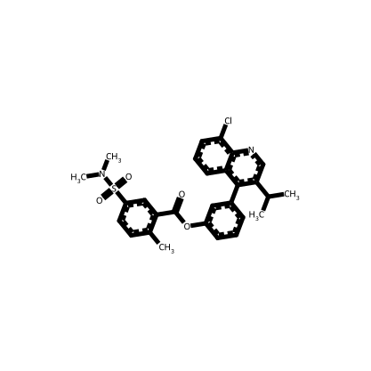 Cc1ccc(S(=O)(=O)N(C)C)cc1C(=O)Oc1cccc(-c2c(C(C)C)cnc3c(Cl)cccc23)c1